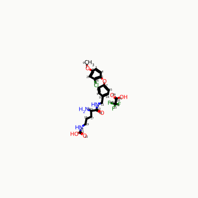 COc1ccc(Oc2ccc(CNC(=O)C(N)CCCNC(=O)O)cc2)c(Cl)c1.O=C(O)C(F)(F)F